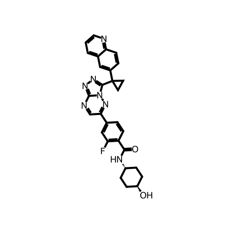 O=C(N[C@H]1CC[C@H](O)CC1)c1ccc(-c2cnc3nnc(C4(c5ccc6ncccc6c5)CC4)n3n2)cc1F